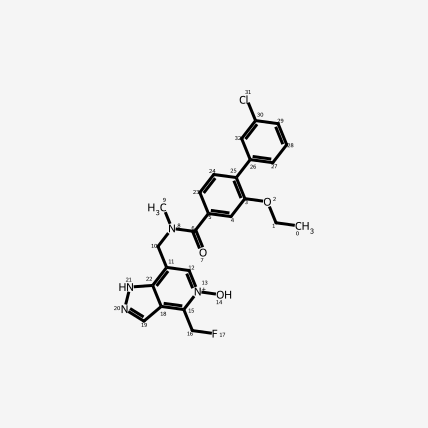 CCOc1cc(C(=O)N(C)Cc2c[n+](O)c(CF)c3cn[nH]c23)ccc1-c1cccc(Cl)c1